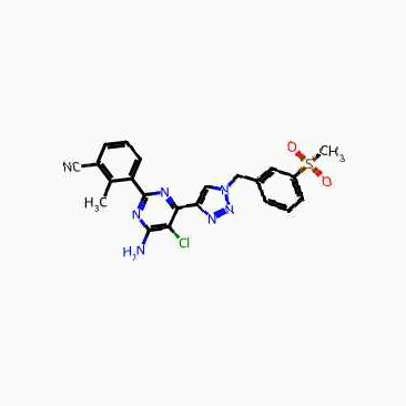 Cc1c(C#N)cccc1-c1nc(N)c(Cl)c(-c2cn(Cc3cccc(S(C)(=O)=O)c3)nn2)n1